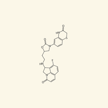 O=C1CSc2ccc(N3CC(CCNC4Cn5c(=O)ccc6ccc(F)c4c65)OC3=O)cc2N1